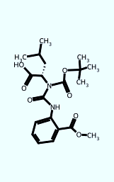 COC(=O)c1ccccc1NC(=O)N(C(=O)OC(C)(C)C)[C@@H](CC(C)C)C(=O)O